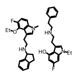 CCOc1c(F)ccc2c1c(CCNC1CCc3ccccc31)cn2C.CCn1cc(CCNCCc2ccccc2)c2c(O)cc(F)cc21